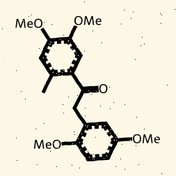 COc1ccc(OC)c(CC(=O)c2cc(OC)c(OC)cc2C)c1